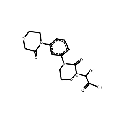 O=C(O)C(O)[C@H]1OCCN(c2cccc(N3CCOCC3=O)c2)C1=O